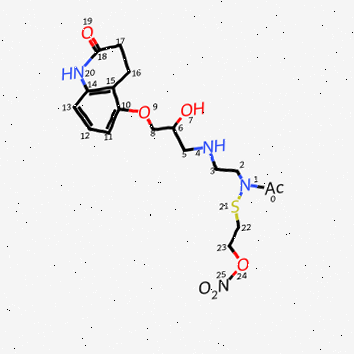 CC(=O)N(CCNCC(O)COc1cccc2c1CCC(=O)N2)SCCO[N+](=O)[O-]